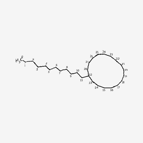 CCCCCCCCCCCCC1CCCCCCCCCCCCCCCC1